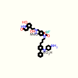 COc1cc2c(cc1CNC[C@H](O)c1ccc(O)c3[nH]c(=O)ccc13)oc(=O)n2CCCCc1ccc(-c2ccccc2)c(N(C(=O)O)C2CCC(N)CC2)c1.F.F